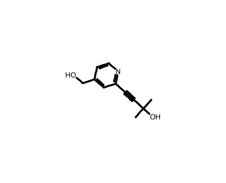 CC(C)(O)C#Cc1cc(CO)ccn1